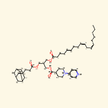 CCCCC/C=C\C/C=C\CCCCCCCC(=O)OCC(COC(=O)CCC12CC3CC(CC(C3)C1)C2)COC(=O)C1CCN(c2ccncc2)CC1